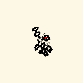 c1ccc(-c2ccc(-c3nc(-c4ccccc4-c4ccc5c(c4)C4(c6ccccc6O5)c5ccccc5-c5ccccc54)nc(C45CC6C[C@H](C4)C[C@H](C6)C5)n3)cc2)cc1